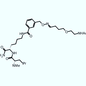 CN[C@@H](CC(C)C)C(=O)N[C@@H](CCCCNC(=O)c1cccc(CO/N=C/CCCOCCNC(C)=O)c1)C(N)=O